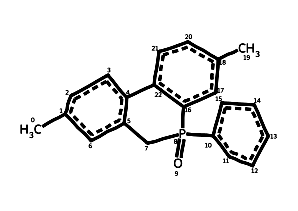 Cc1ccc2c(c1)CP(=O)(c1ccccc1)c1cc(C)ccc1-2